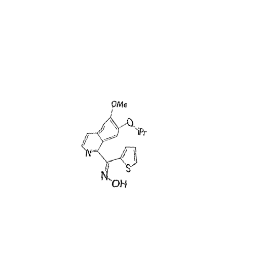 COc1cc2ccnc(/C(=N/O)c3cccs3)c2cc1OC(C)C